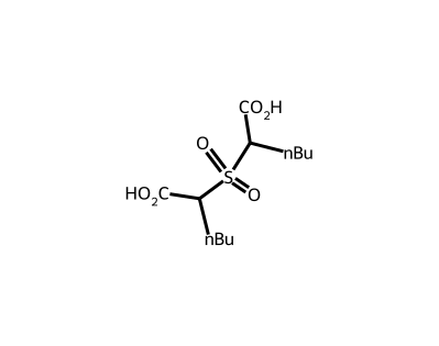 CCCCC(C(=O)O)S(=O)(=O)C(CCCC)C(=O)O